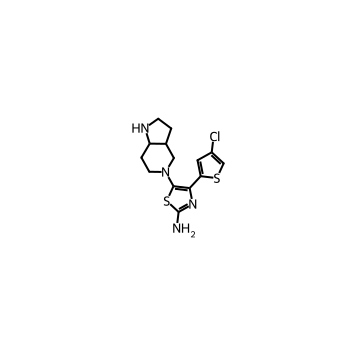 Nc1nc(-c2cc(Cl)cs2)c(N2CCC3NCCC3C2)s1